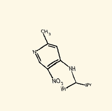 Cc1cc(NC(C(C)C)C(C)C)c([N+](=O)[O-])cn1